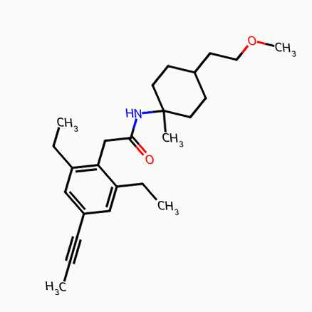 CC#Cc1cc(CC)c(CC(=O)NC2(C)CCC(CCOC)CC2)c(CC)c1